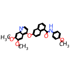 COc1ccc(NC(=O)c2cccc3cc(Oc4ccnc5cc(OC)c(OC)cc45)ccc23)cc1